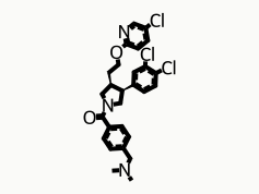 CN(C)Cc1ccc(C(=O)N2C[C@@H](CCOc3ccc(Cl)cn3)[C@@H](c3ccc(Cl)c(Cl)c3)C2)cc1